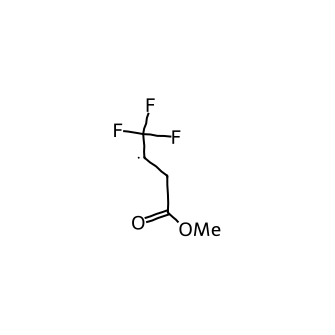 COC(=O)C[CH]C(F)(F)F